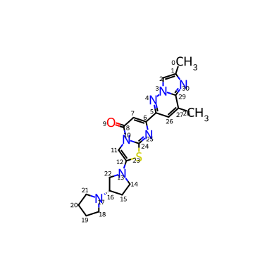 Cc1cn2nc(-c3cc(=O)n4cc(N5CC[C@H](N6CCCC6)C5)sc4n3)cc(C)c2n1